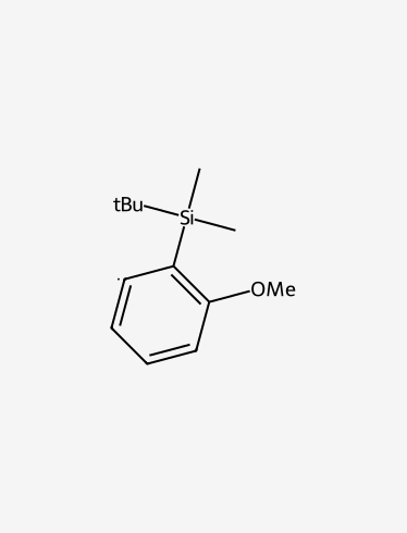 COc1ccc[c]c1[Si](C)(C)C(C)(C)C